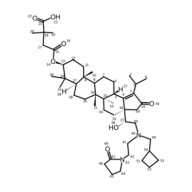 CC(C)C1=C2[C@H]3CCC4[C@@]5(C)CC[C@H](OC(=O)CC(C)(C)C(=O)O)C(C)(C)[C@@H]5CC[C@@]4(C)[C@]3(C)CC[C@@]2([C@@H](O)CN(CCN2CCCC2=O)CC2CCC2)CC1=O